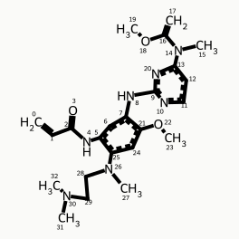 C=CC(=O)Nc1cc(Nc2nccc(N(C)C(=C)OC)n2)c(OC)cc1N(C)CCN(C)C